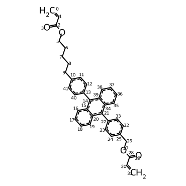 C=CC(=O)OCCCCCc1ccc(-c2c3ccccc3c(-c3ccc(COC(=O)C=C)cc3)c3ccccc23)cc1